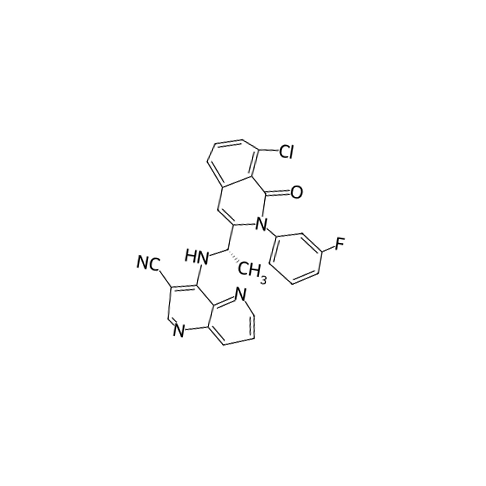 C[C@H](Nc1c(C#N)cnc2cccnc12)c1cc2cccc(Cl)c2c(=O)n1-c1cccc(F)c1